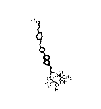 C=C(CO)C(=O)OCC(CCc1ccc2cc(C3CCC(CCC4CCC(CCCCC)CC4)CC3)ccc2c1)COC(=O)C(=C)CO